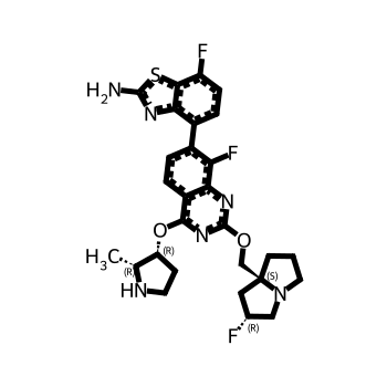 C[C@H]1NCC[C@H]1Oc1nc(OC[C@@]23CCCN2C[C@H](F)C3)nc2c(F)c(-c3ccc(F)c4sc(N)nc34)ccc12